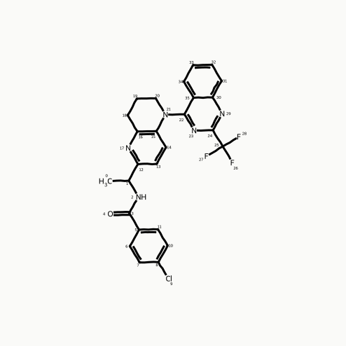 CC(NC(=O)c1ccc(Cl)cc1)c1ccc2c(n1)CCCN2c1nc(C(F)(F)F)nc2ccccc12